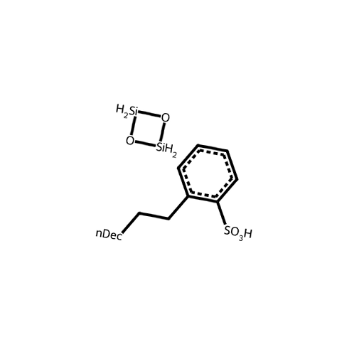 CCCCCCCCCCCCc1ccccc1S(=O)(=O)O.O1[SiH2]O[SiH2]1